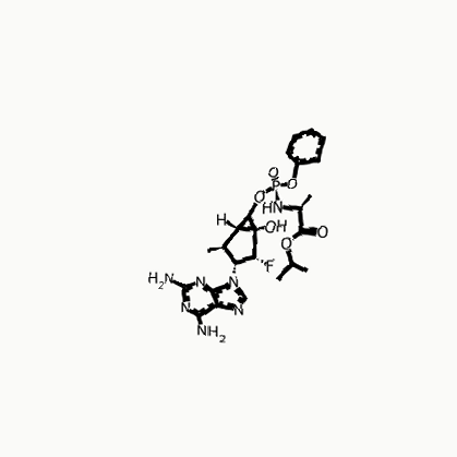 CC(C)OC(=O)[C@H](C)N[P@@](=O)(Oc1ccccc1)OC1[C@H]2[C@H](C)[C@@H](n3cnc4c(N)nc(N)nc43)[C@@H](F)[C@@]12O